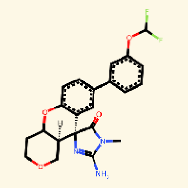 CN1C(=O)[C@]2(N=C1N)c1cc(-c3cccc(OC(F)F)c3)ccc1OC1CCOC[C@@H]12